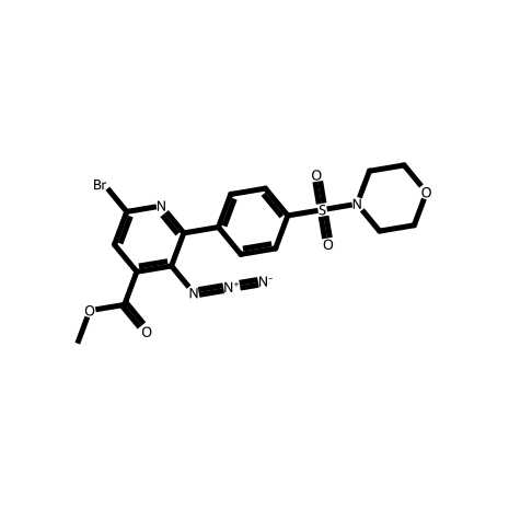 COC(=O)c1cc(Br)nc(-c2ccc(S(=O)(=O)N3CCOCC3)cc2)c1N=[N+]=[N-]